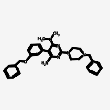 CN(C)c1nc(N2CCN(Cc3ccccc3)CC2)nc(N)c1-c1cccc(OCc2ccccc2)c1